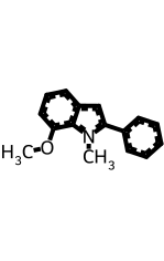 COc1cccc2cc(-c3ccccc3)n(C)c12